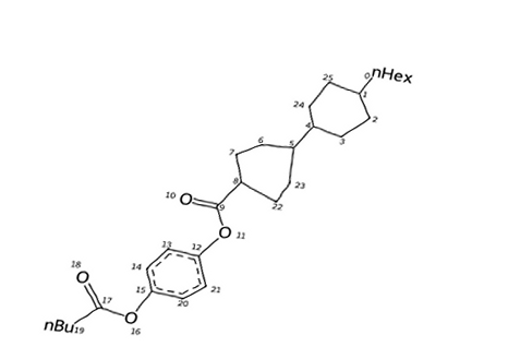 CCCCCCC1CCC(C2CCC(C(=O)Oc3ccc(OC(=O)CCCC)cc3)CC2)CC1